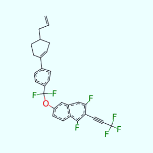 C=CCC1CC=C(c2ccc(C(F)(F)Oc3ccc4c(F)c(C#CC(F)(F)F)c(F)cc4c3)cc2)CC1